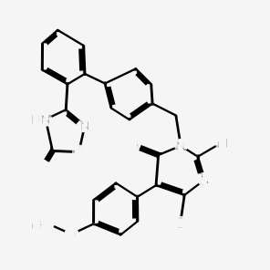 CCCOc1ccc(-c2c(CC)nc(CCC)n(Cc3ccc(-c4ccccc4-c4noc(=O)[nH]4)cc3)c2=O)cc1